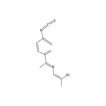 C=C(/C=C\C(=C)/C(C)=N/C=C(/C)CC)N=C=S